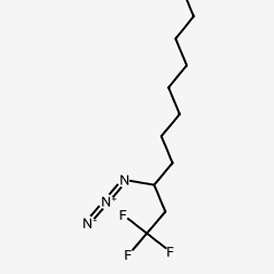 CCCCCCCCC(CC(F)(F)F)N=[N+]=[N-]